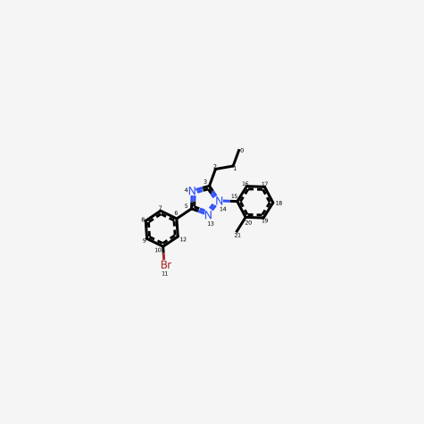 CCCc1nc(-c2cccc(Br)c2)nn1-c1ccccc1C